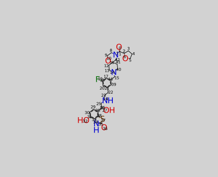 O=C(C1CCCO1)N1CCOC2(CCN(Cc3cc(F)cc(CCNC[C@H](O)c4ccc(O)c5[nH]c(=O)sc45)c3)CC2)C1